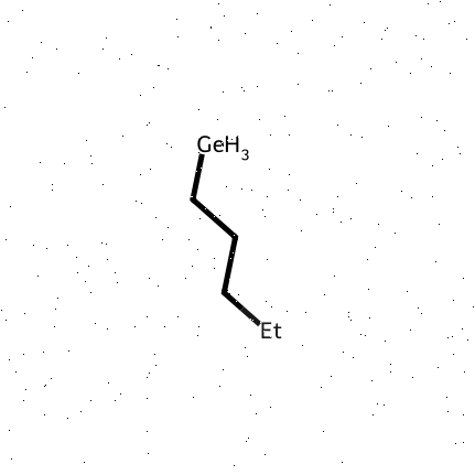 CCCC[CH2][GeH3]